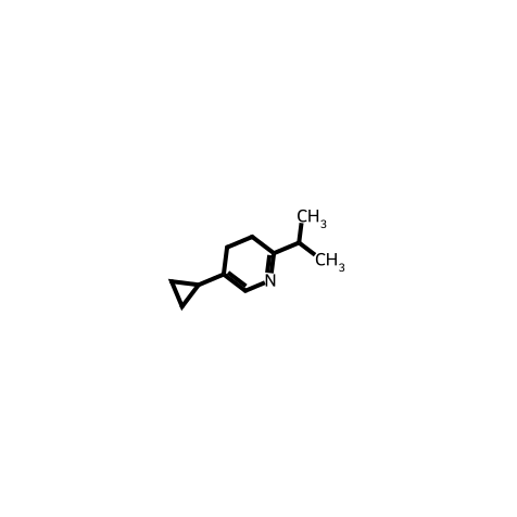 CC(C)C1=NC=C(C2CC2)CC1